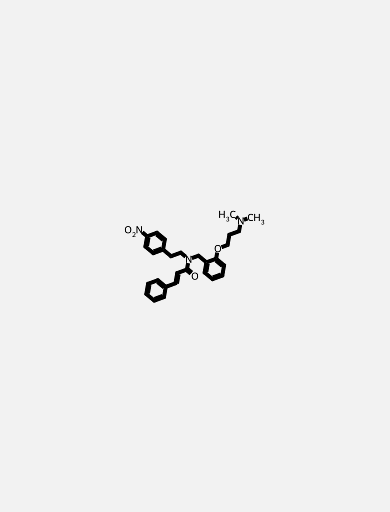 CN(C)CCCOc1ccccc1CN(CCc1ccc([N+](=O)[O-])cc1)C(=O)C=Cc1ccccc1